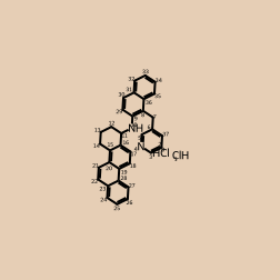 Cl.Cl.c1cncc(Cc2c(NC3CCCc4c3ccc3c4ccc4ccccc43)ccc3ccccc23)c1